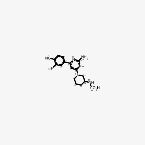 N#Cc1ccc(-c2cc(N3CCCC(NC(=O)O)C3)nc(N)n2)cc1F